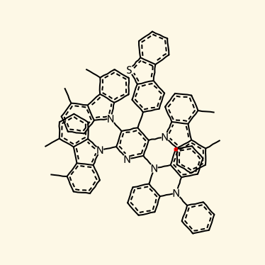 Cc1cccc2c1c1c(C)cccc1n2-c1nc(N2c3ccccc3N(c3ccccc3)c3ccccc32)c(-n2c3cccc(C)c3c3c(C)cccc32)c(-c2ccc3c(c2)sc2ccccc23)c1-n1c2cccc(C)c2c2c(C)cccc21